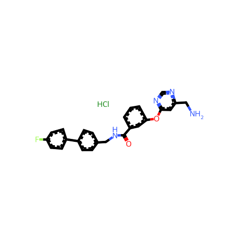 Cl.NCc1cc(Oc2cccc(C(=O)NCc3ccc(-c4ccc(F)cc4)cc3)c2)ncn1